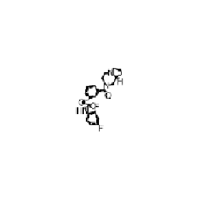 O=C(c1cccc(S(=O)(=O)Nc2ccc(F)cc2F)c1)N1CCN2CCC[C@H]2C1